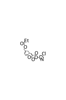 CCC1OC1OCC1=CC=C2OC(=O)C(C(=O)Oc3cncc(Cl)c3)=CC2C1